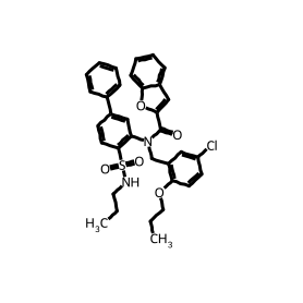 CCCNS(=O)(=O)c1ccc(-c2ccccc2)cc1N(Cc1cc(Cl)ccc1OCCC)C(=O)c1cc2ccccc2o1